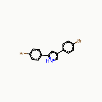 Brc1ccc(-c2c[nH]c(-c3ccc(Br)cc3)c2)cc1